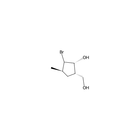 C[C@@H]1C[C@@H](CO)[C@@H](O)C1Br